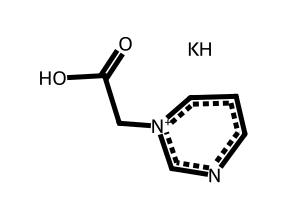 O=C(O)C[n+]1cccnc1.[KH]